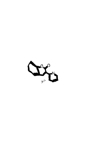 O=c1oc2ccccc2cc1-c1ccccn1.[Ir+3]